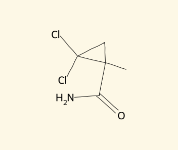 CC1(C(N)=O)CC1(Cl)Cl